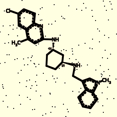 Cc1cc(N[C@H]2CCC[C@H](NCc3cn(C)c4ccccc34)C2)nc2ccc(Cl)cc12